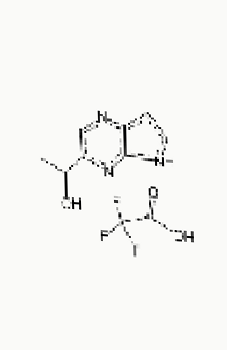 CC(O)c1cnc2cc[nH]c2n1.O=C(O)C(F)(F)F